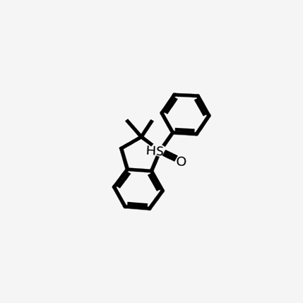 CC1(C)Cc2ccccc2[SH]1(=O)c1ccccc1